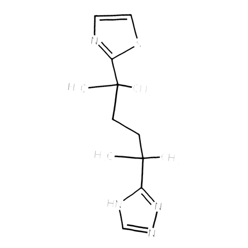 CC(C)(CCC(C)(C)c1nccs1)c1nnc[nH]1